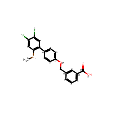 CSc1cc(F)c(F)cc1-c1ccc(OCc2cccc(C(=O)O)c2)cc1